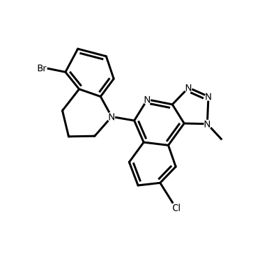 Cn1nnc2nc(N3CCCc4c(Br)cccc43)c3ccc(Cl)cc3c21